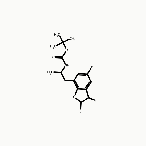 CC(Cc1cc(F)cc2c1OC(Cl)C2Cl)NC(=O)OC(C)(C)C